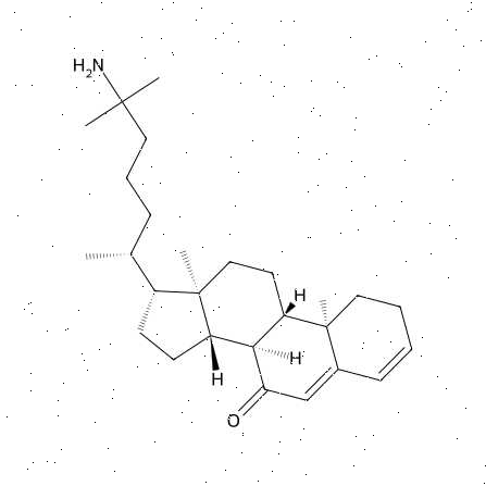 C[C@H](CCCC(C)(C)N)[C@H]1CC[C@H]2[C@@H]3C(=O)C=C4C=CCC[C@]4(C)[C@H]3CC[C@]12C